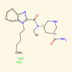 COCCCCn1c(C(=O)N(CC(C)C)[C@@H]2CNC[C@H](C(N)=O)C2)nc2ccccc21.Cl.Cl